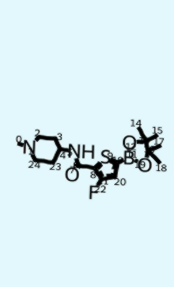 CN1CCC(NC(=O)c2sc(B3OC(C)(C)C(C)(C)O3)cc2F)CC1